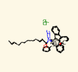 CCCCCCCCCCCC(=O)[NH][Zr+2]([CH]1c2ccccc2-c2ccccc21)[SiH](c1ccccc1)c1ccccc1.[Cl-].[Cl-]